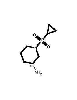 N[C@@H]1CCCN(S(=O)(=O)C2CC2)C1